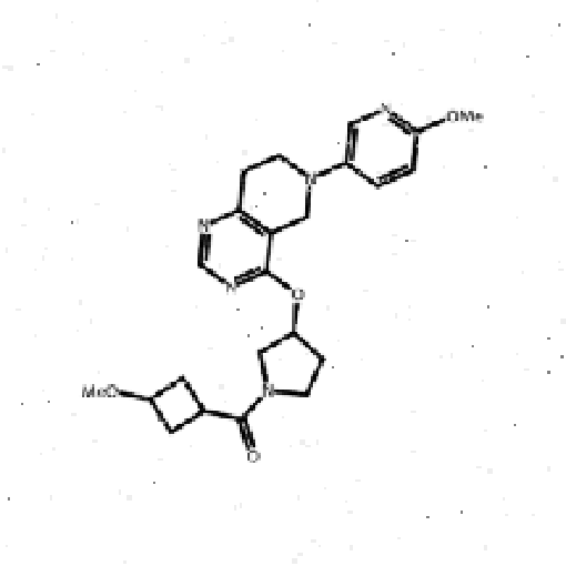 COc1ccc(N2CCc3ncnc(O[C@H]4CCN(C(=O)C5CC(OC)C5)C4)c3C2)cn1